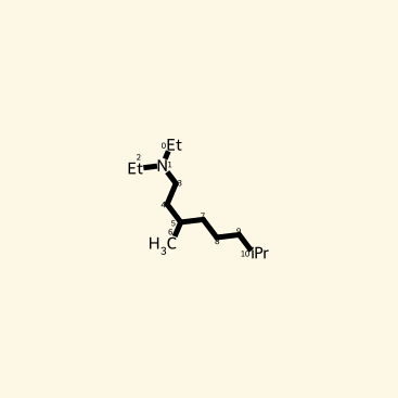 CCN(CC)CCC(C)CCCC(C)C